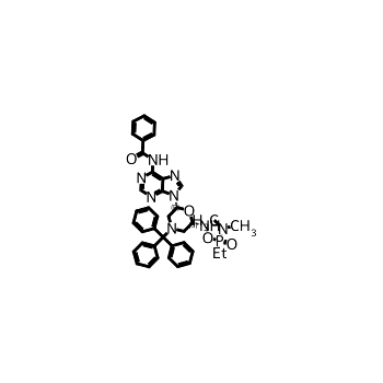 CCP(=O)(ON[C@@H]1CN(C(c2ccccc2)(c2ccccc2)c2ccccc2)C[C@H](n2cnc3c(NC(=O)c4ccccc4)ncnc32)O1)N(C)C